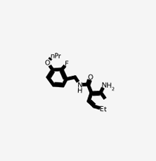 CC/C=C\C(C(=O)NCc1cccc(OCCC)c1F)=C(/C)N